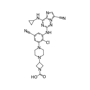 N#Cc1cc(Nc2nc(NC3CC3)c3ncc(C#N)n3n2)c(Cl)c(N2CCN(C3CN(C(=O)O)C3)CC2)c1